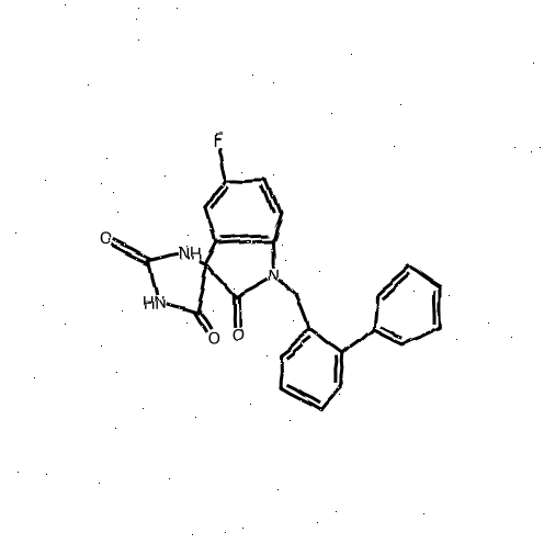 O=C1NC(=O)C2(N1)C(=O)N(Cc1ccccc1-c1ccccc1)c1ccc(F)cc12